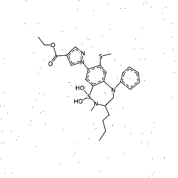 CCCCC1CN(c2ccccc2)c2cc(SC)c(-n3cc(C(=O)OCC)cn3)cc2S(O)(O)N1C